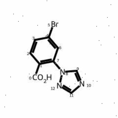 O=C(O)c1ccc(Br)cc1-n1cncn1